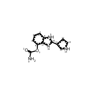 NC(=O)Oc1cccc2[nH]c(-c3cc[nH]c3)nc12